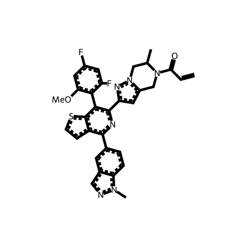 C=CC(=O)N1Cc2cc(-c3nc(-c4ccc5c(cnn5C)c4)c4ccsc4c3-c3c(F)cc(F)cc3OC)nn2CC1C